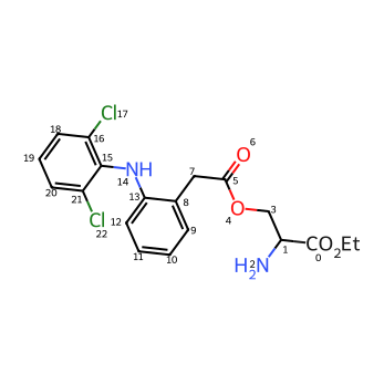 CCOC(=O)C(N)COC(=O)Cc1ccccc1Nc1c(Cl)cccc1Cl